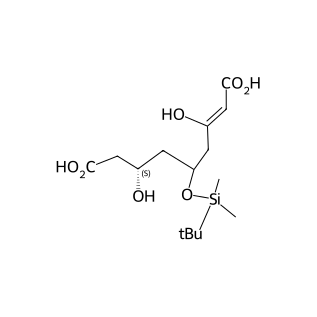 CC(C)(C)[Si](C)(C)OC(CC(O)=CC(=O)O)C[C@H](O)CC(=O)O